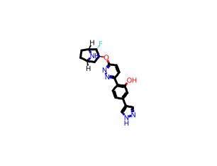 Oc1cc(-c2cn[nH]c2)ccc1-c1ccc(O[C@H]2C[C@@H]3CC[C@@H](N3)[C@@H]2F)nn1